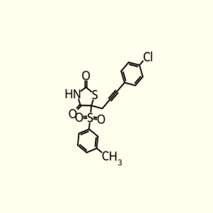 Cc1cccc(S(=O)(=O)C2(CC#Cc3ccc(Cl)cc3)SC(=O)NC2=O)c1